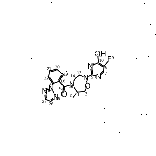 C[C@@H]1CON(c2ncc(F)c(O)n2)CCN1C(=O)c1ccccc1-n1nccn1